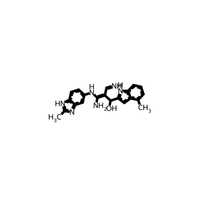 Cc1nc2cc(N/C(N)=C(\C=N)C(O)c3cc4c(C)cccc4[nH]3)ccc2[nH]1